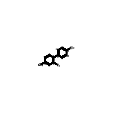 Fc1cc(Cl)ccc1-c1ccc(Cl)cc1